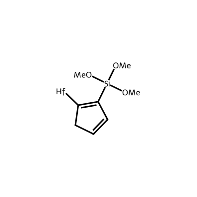 CO[Si](OC)(OC)C1=[C]([Hf])CC=C1